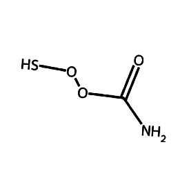 NC(=O)OOS